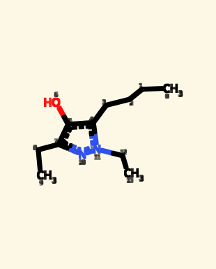 CCCCc1c(O)c(CC)nn1CC